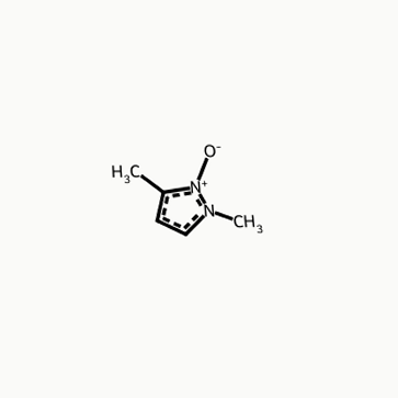 Cc1ccn(C)[n+]1[O-]